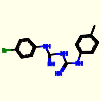 Cc1ccc(NC(=N)NC(=N)Nc2ccc(Br)cc2)cc1